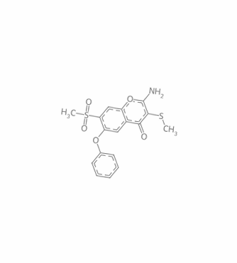 CSc1c(N)oc2cc(S(C)(=O)=O)c(Oc3ccccc3)cc2c1=O